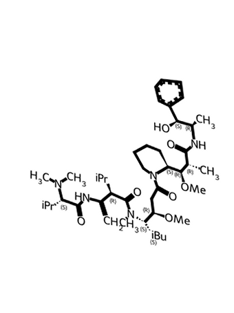 C=C(NC(=O)[C@H](C(C)C)N(C)C)[C@H](C(=O)N(C)[C@@H]([C@@H](C)CC)[C@@H](CC(=O)N1CCCC[C@H]1[C@H](OC)[C@@H](C)C(=O)N[C@H](C)[C@@H](O)c1ccccc1)OC)C(C)C